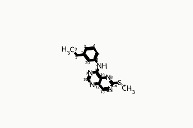 CCc1cccc(Nc2ncnc3cnc(SC)nc23)c1